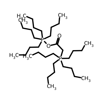 CCCCP(CCCC)(CCCC)(CCCC)CC(=O)OP(CCCC)(CCCC)(CCCC)CCCC